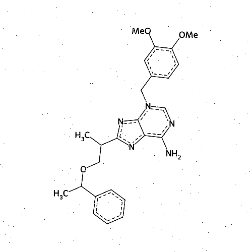 COc1ccc(Cn2cnc(N)c3nc(C(C)COC(C)c4ccccc4)nc2-3)cc1OC